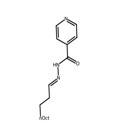 CCCCCCCCCCC=NNC(=O)c1ccncc1